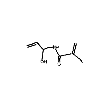 C=CC(O)NC(=O)C(=C)C